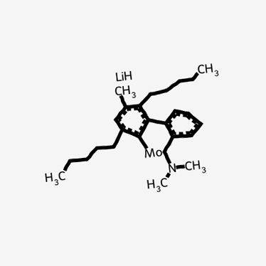 CCCCCc1cc(C)c(CCCCC)c(-c2ccccc2CN(C)C)[c]1[Mo].[LiH]